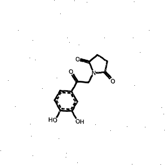 O=C(CN1C(=O)CCC1=O)c1ccc(O)c(O)c1